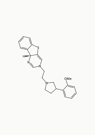 COc1ccccc1C1CCN(CCN2C=N[C@H]3C(=C2)Sc2ccccc23)C1